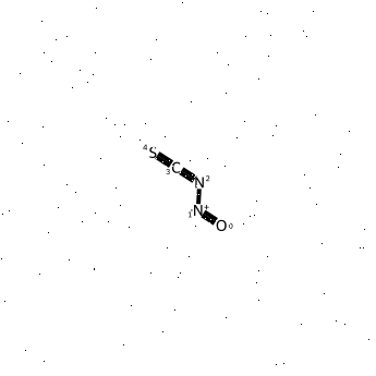 O=[N+]N=C=S